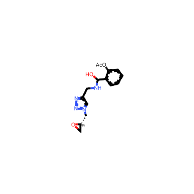 CC(=O)Oc1ccccc1C(O)NCc1cn(C[C@@H]2CO2)nn1